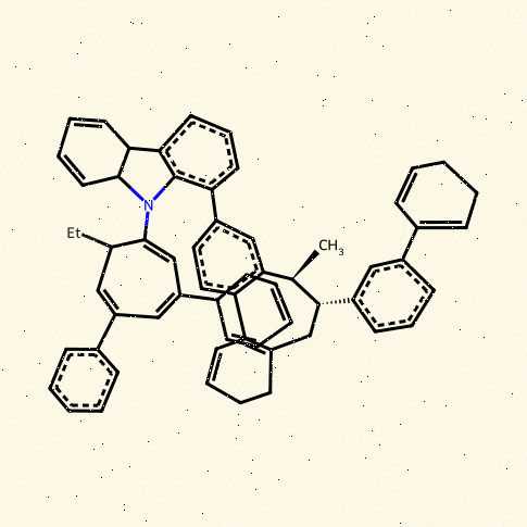 CCC1C=C(c2ccccc2)C=C(C2C=CC=CC2)C=C1N1c2c(-c3ccc4c(c3)[C@@H](C)[C@H](c3cccc(C5=CCCC=C5)c3)CC3=C4C=CCC3)cccc2C2C=CC=CC21